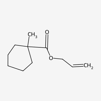 C=CCOC(=O)C1(C)CCCCC1